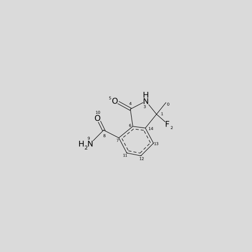 CC1(F)NC(=O)c2c(C(N)=O)cccc21